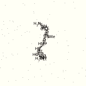 CCN(C)C(=O)[C@H](O[C@@H]1C[C@H](BC#CCNC(=O)COCCOC(COc2cccc(C(=O)NCCN)c2)SSC)OC1CO)SSC